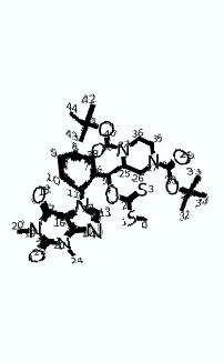 CSC(=S)OC(c1ccccc1-n1cnc2c1c(=O)n(C)c(=O)n2C)C1CN(C(=O)OC(C)(C)C)CCN1C(=O)OC(C)(C)C